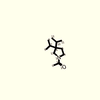 CC(=O)N1CCC(C(C)C)(C(C)C)C1